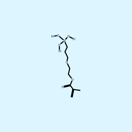 C=C(C)C(=O)OCCOCCC[Si](OCC)(OCC)OCC